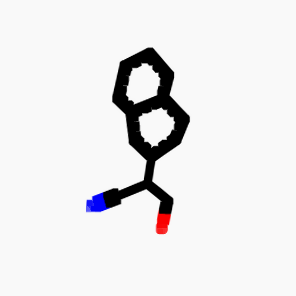 N#CC(C=O)c1ccc2ccccc2c1